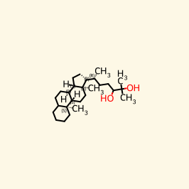 C[C@H](CCC(O)C(C)(C)O)[C@H]1CC[C@H]2[C@@H]3CCC4CCCC[C@]4(C)[C@H]3CC[C@]12C